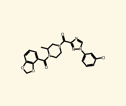 CC1CN(C(=O)c2ncn(-c3cccc(Cl)c3)n2)CCN1C(=O)c1cccc2c1OCO2